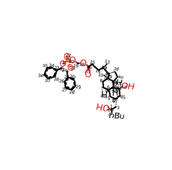 CCCC[C@@H](O)C[C@@H]1C[C@H]2CC[C@]3(C)[C@@H]([C@H](C)CCC(=O)OCOP(=O)(OCc4ccccc4)OCc4ccccc4)CC[C@H]3[C@@H]2[C@@H](O)C1